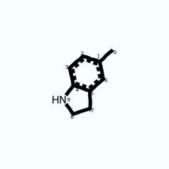 Cc1ccc2c(c1)[CH]CN2